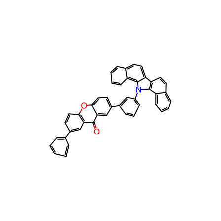 O=c1c2cc(-c3ccccc3)ccc2oc2ccc(-c3cccc(-n4c5c6ccccc6ccc5c5ccc6ccccc6c54)c3)cc12